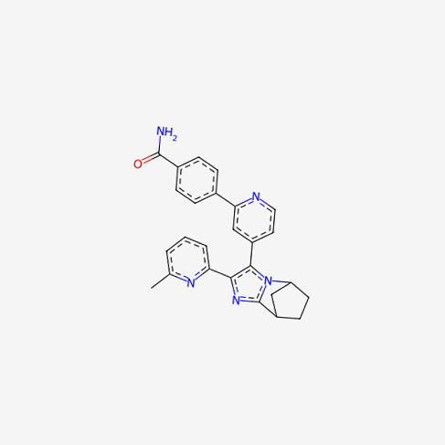 Cc1cccc(-c2nc3n(c2-c2ccnc(-c4ccc(C(N)=O)cc4)c2)C2CCC3C2)n1